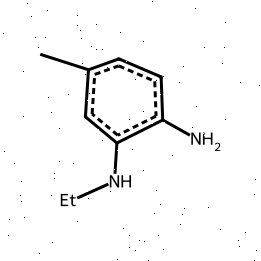 CCNc1cc(C)ccc1N